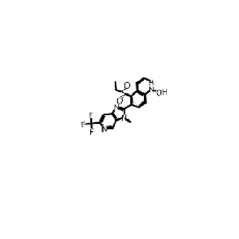 C/C=C\c1c(NO)ccc(-c2nc3cc(C(F)(F)F)ncc3n2C)c1S(=O)(=O)CC